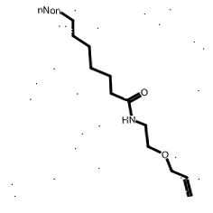 C=CCOCCNC(=O)CCCCCCCCCCCCCCC